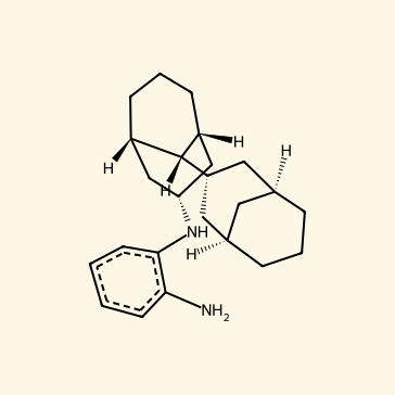 Nc1ccccc1N[C@H]1C[C@H]2CCC[C@@H](C1)[C@H]2[C@H]1C[C@@H]2CCC[C@@H](C2)C1